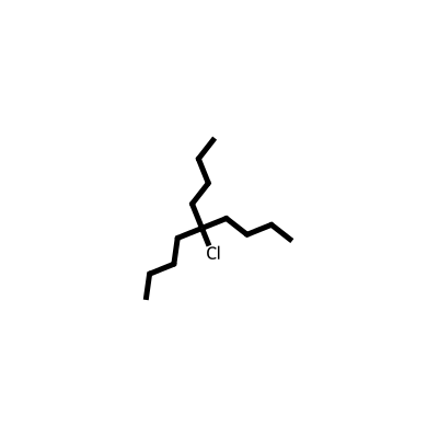 CCCCC(Cl)(CCCC)CCCC